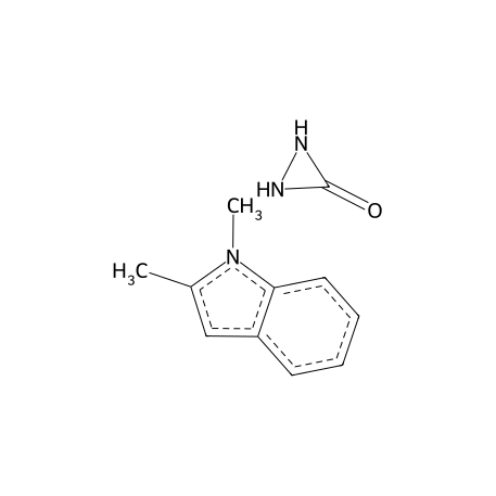 Cc1cc2ccccc2n1C.O=C1NN1